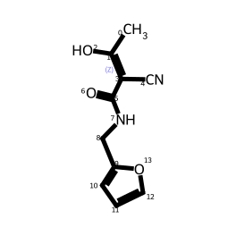 C/C(O)=C(\C#N)C(=O)NCc1ccco1